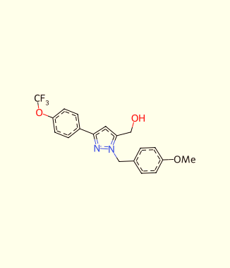 COc1ccc(Cn2nc(-c3ccc(OC(F)(F)F)cc3)cc2CO)cc1